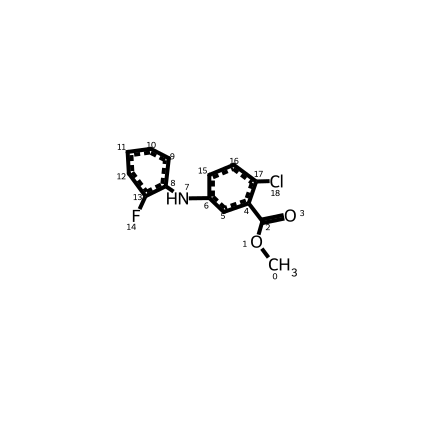 COC(=O)c1cc(Nc2ccccc2F)ccc1Cl